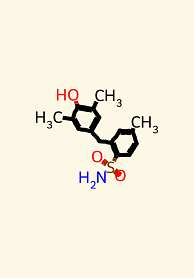 Cc1ccc(S(N)(=O)=O)c(Cc2cc(C)c(O)c(C)c2)c1